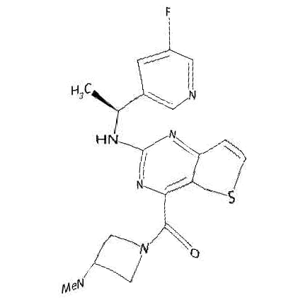 CNC1CN(C(=O)c2nc(N[C@@H](C)c3cncc(F)c3)nc3ccsc23)C1